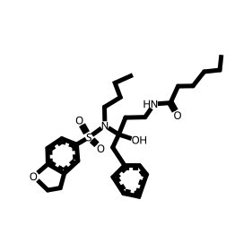 CCCCCC(=O)NCCC(O)(Cc1ccccc1)N(CCCC)S(=O)(=O)c1ccc2c(c1)CCO2